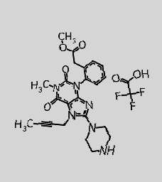 CC#CCn1c(N2CCNCC2)nc2c1c(=O)n(C)c(=O)n2-c1ccccc1CC(=O)OC.O=C(O)C(F)(F)F